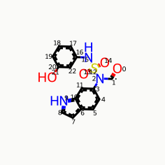 O=[C]N(c1ccc2cc[nH]c2c1)S(=O)(=O)Nc1cccc(O)c1